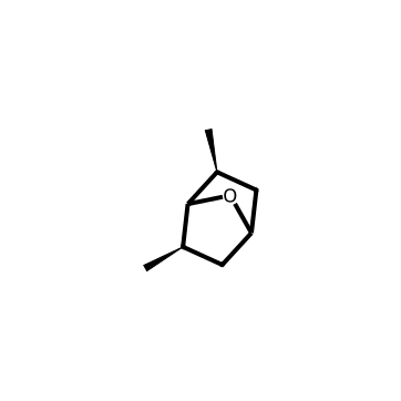 C[C@@H]1CC2C[C@H](C)C1O2